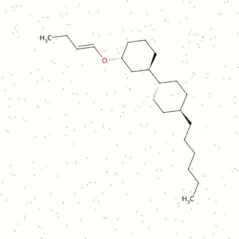 CCC=CO[C@@H]1CCC[C@@H]([C@H]2CC[C@H](CCCCCC)CC2)C1